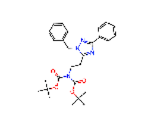 CC(C)(C)OC(=O)N(CCc1nc(-c2ccccc2)nn1Cc1ccccc1)C(=O)OC(C)(C)C